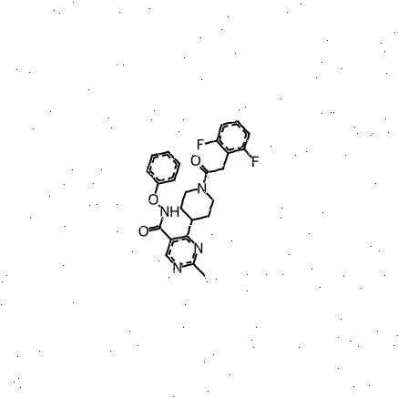 Cc1ncc(C(=O)NOc2ccccc2)c(C2CCN(C(=O)Cc3c(F)cccc3F)CC2)n1